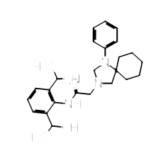 CC(C)c1cccc(C(C)C)c1NC(=O)CN1CN(c2ccccc2)C2(CCCCC2)C1